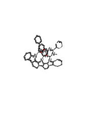 CN1C(C2=CC=CCC2)=NC(c2ccccc2)=NC1n1c2c(c3ccc4c5ccc6c7ccccc7n(C7N[C@@H]7c7ccccc7)c6c5n(-c5ccccc5)c4c31)CCC=C2